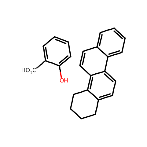 O=C(O)c1ccccc1O.c1ccc2c(c1)ccc1c3c(ccc12)CCCC3